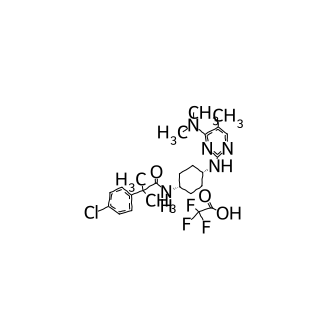 Cc1cnc(N[C@H]2CC[C@@H](NC(=O)C(C)(C)c3ccc(Cl)cc3)CC2)nc1N(C)C.O=C(O)C(F)(F)F